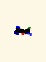 Cn1ncc(-c2cncnc2)c1-c1ccc2c(c1)CN([C@H](CN)Cc1cccc(F)c1)C2=O